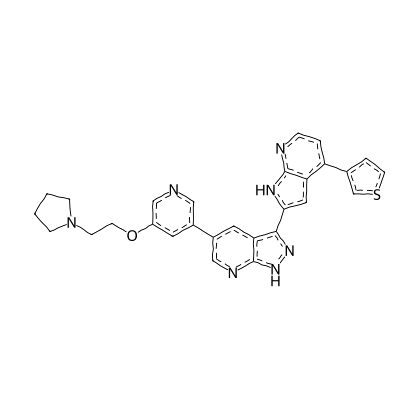 c1cc(-c2ccsc2)c2cc(-c3n[nH]c4ncc(-c5cncc(OCCN6CCCC6)c5)cc34)[nH]c2n1